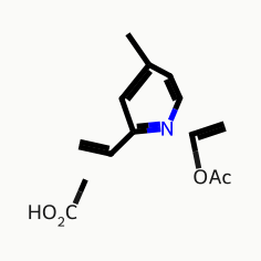 C=COC(C)=O.C=Cc1cc(C)ccn1.CC(=O)O